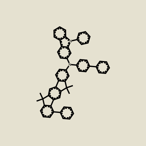 CC1(C)c2cc(N(c3ccc(-c4ccccc4)cc3)c3ccc4c5ccccc5n(-c5ccccc5)c4c3)ccc2-c2cc3c(cc21)-c1c(-c2ccccc2)cccc1C3(C)C